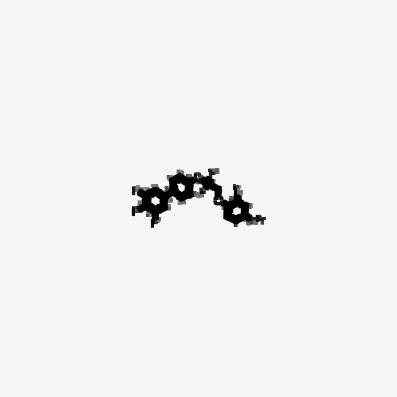 CCCc1ccc(OCC(F)(F)Oc2ccc(-c3cc(F)c(F)c(F)c3)cc2)c(F)c1